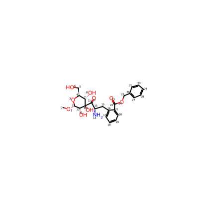 CO[C@@H]1O[C@@H](CO)[C@H](O)C(O)(C(=O)[C@H](N)Cc2ccccc2C(=O)OCc2ccccc2)[C@@H]1O